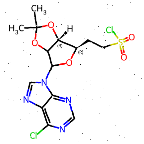 CC1(C)OC2C(n3cnc4c(Cl)ncnc43)O[C@H](CCS(=O)(=O)Cl)[C@H]2O1